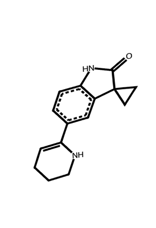 O=C1Nc2ccc(C3=CCCCN3)cc2C12CC2